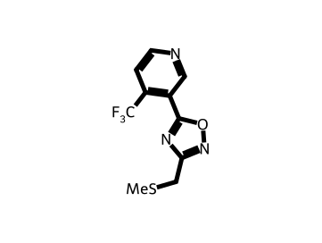 CSCc1noc(-c2cnccc2C(F)(F)F)n1